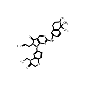 C=CCn1c(=O)c2cnc(Nc3ccc4c(c3)CCN(C)C4(C)C)nc2n1-c1ccc2c(c1)N(CC)C(=O)CO2